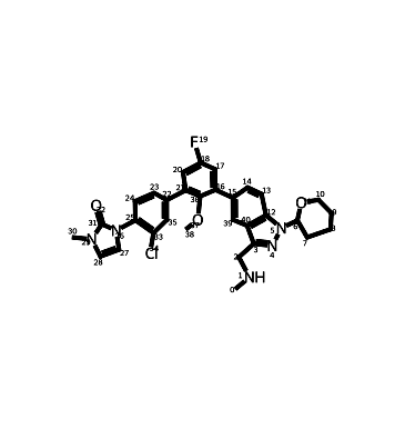 CNCc1nn(C2CCCCO2)c2ccc(-c3cc(F)cc(-c4ccc(-n5ccn(C)c5=O)c(Cl)c4)c3OC)cc12